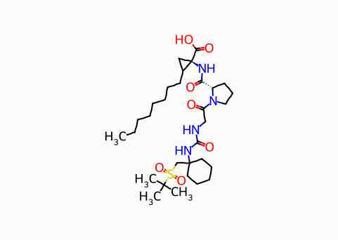 CCCCCCCCC1C[C@]1(NC(=O)[C@@H]1CCCN1C(=O)CNC(=O)NC1(CS(=O)(=O)C(C)(C)C)CCCCC1)C(=O)O